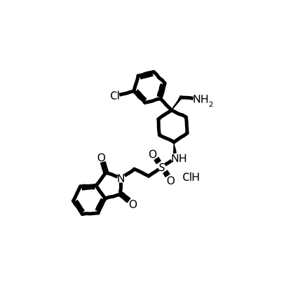 Cl.NC[C@]1(c2cccc(Cl)c2)CC[C@H](NS(=O)(=O)CCN2C(=O)c3ccccc3C2=O)CC1